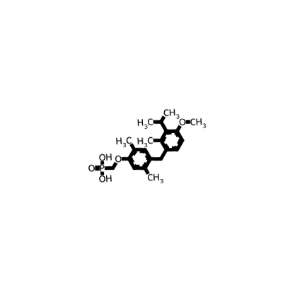 COc1ccc(Cc2cc(C)c(OCP(=O)(O)O)cc2C)c(C)c1C(C)C